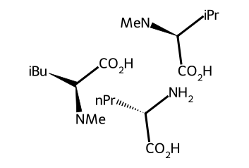 CCC[C@H](N)C(=O)O.CC[C@H](C)[C@H](NC)C(=O)O.CN[C@H](C(=O)O)C(C)C